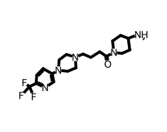 CNC1CCN(C(=O)CCCN2CCN(c3ccc(C(F)(F)F)nc3)CC2)CC1